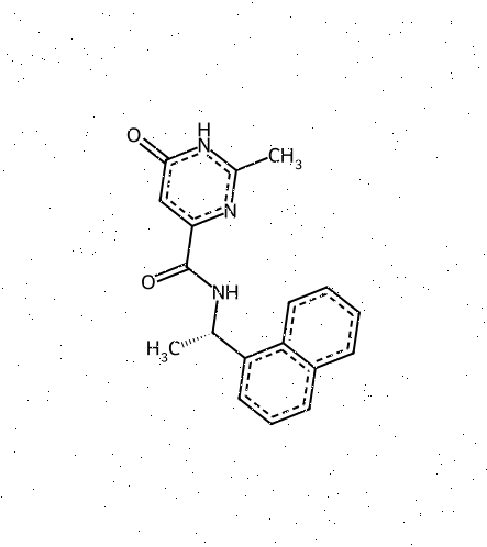 Cc1nc(C(=O)N[C@@H](C)c2cccc3ccccc23)cc(=O)[nH]1